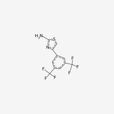 Nc1nc(-c2cc(C(F)(F)F)cc(C(F)(F)F)c2)cs1